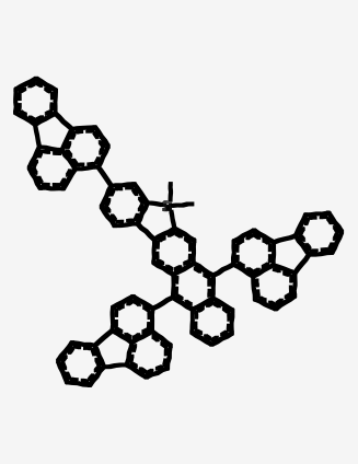 C[Si]1(C)c2cc(-c3ccc4c5c(cccc35)-c3ccccc3-4)ccc2-c2cc3c(-c4ccc5c6c(cccc46)-c4ccccc4-5)c4ccccc4c(-c4ccc5c6c(cccc46)-c4ccccc4-5)c3cc21